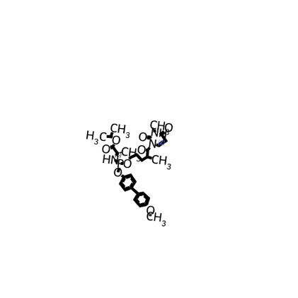 CNC(=O)N(/C=C\C=O)C1OC(COP(N[C@@H](C)C(=O)OC(C)C)Oc2ccc(-c3ccc(OC)cc3)cc2)CC1C